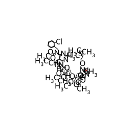 CCOC(=O)C(Cc1nnnn1COCC[Si](C)(C)C)(OC[C@H]1O[C@@H](n2ncc3c(N(Cc4ccccc4Cl)C(=O)OC(C)(C)C)nc(Cl)nc32)[C@@H]2OC(C)(C)O[C@@H]21)P(=O)(OCC)OCC